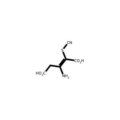 N#CS/C(C(=O)O)=C(/N)CC(=O)O